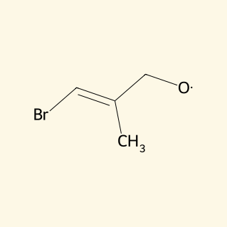 C/C(=C\Br)C[O]